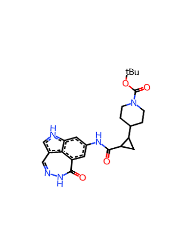 CC(C)(C)OC(=O)N1CCC(C2CC2C(=O)Nc2cc3c4c(c[nH]c4c2)C=NNC3=O)CC1